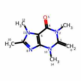 C=C1N(C)C(=O)c2c(nc(C)n2C)N1C